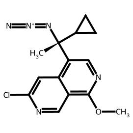 COc1ncc([C@](C)(N=[N+]=[N-])C2CC2)c2cc(Cl)ncc12